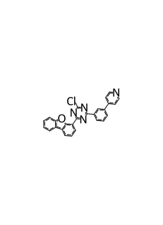 Clc1nc(-c2cccc(-c3ccncc3)c2)nc(-c2cccc3c2oc2ccccc23)n1